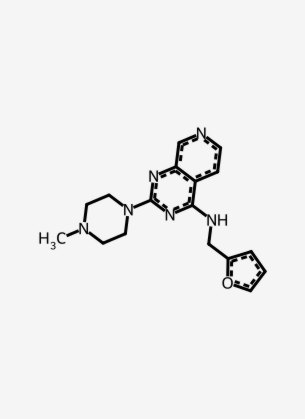 CN1CCN(c2nc(NCc3ccco3)c3ccncc3n2)CC1